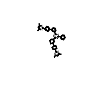 Cc1cc(C)nc(C2=CC=C(C3=CC(c4nc(-c5ccccc5)nc(-c5cccc(-c6ccc(-c7nc(C)cc(C)n7)cc6)c5)n4)=CCC3)CC2)n1